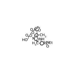 CCCN(C(=O)OCOC(=O)CO)C(=O)c1cn2ncnc(Nc3cc(C(=O)NCC)ccc3C)c2c1C